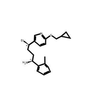 CC[C@H](CC[C@H](N)c1ccccc1C)c1ccc(SCC2CC2)nc1